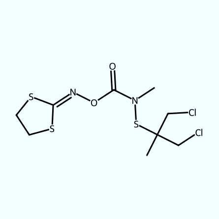 CN(SC(C)(CCl)CCl)C(=O)ON=C1SCCS1